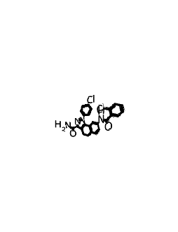 NC(=O)c1nn(-c2ccc(Cl)cc2)c2c1CCc1ccc(NC(=O)c3ccccc3Cl)cc1-2